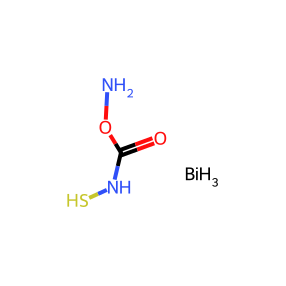 NOC(=O)NS.[BiH3]